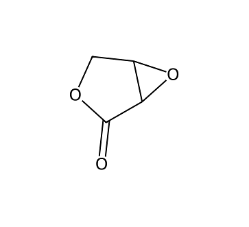 O=C1OCC2OC12